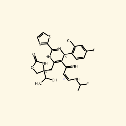 CC(O)[C@]1(CC2=C(C(=N)/C=C\NC(F)F)[C@H](c3ccc(F)cc3Cl)N=C(c3nccs3)N2)COC(=O)N1